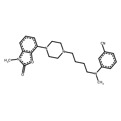 CN(CCCCN1CCN(c2cccc3c2oc(=O)n3C)CC1)c1cccc(C#N)c1